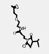 CC(=O)CCOCCNC(=O)CCN1C(=O)CC(C(C)C)C1=O